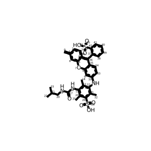 C=c1ccc2c(c1)Oc1cc(Nc3c(C)c(NC(=O)NCC(C)C)c(C)c(S(=O)(=O)O)c3C)ccc1C=2c1ccccc1S(=O)(=O)O